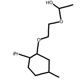 CC1CCC(C(C)C)C(OCCOC(C)O)C1